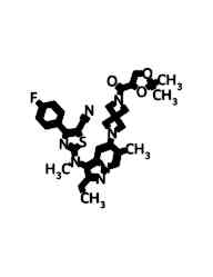 CCc1nn2cc(C)c(N3CC4(CN(C(=O)C5COC(C)(C)O5)C4)C3)cc2c1N(C)c1nc(-c2ccc(F)cc2)c(C#N)s1